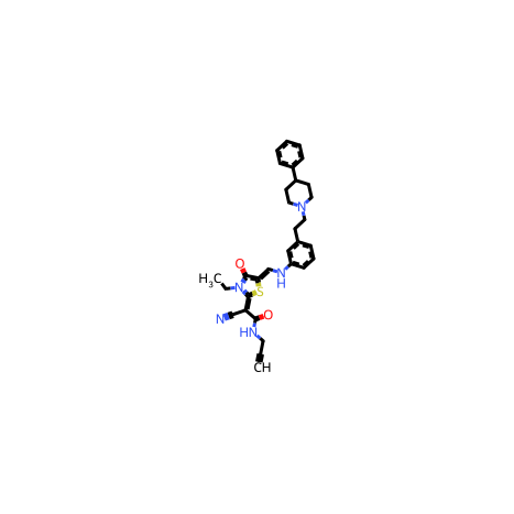 C#CCNC(=O)C(C#N)=c1sc(=CNc2cccc(CCN3CCC(c4ccccc4)CC3)c2)c(=O)n1CC